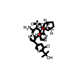 CC(C)(O)c1ncc(-c2cnn3c(N)c(S(C)(=O)=O)c([C@H]4C[C@H]5CC[C@@H](C4)N5C(=O)c4nnc[nH]4)nc23)cc1Cl